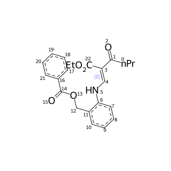 CCCC(=O)/C(=C/Nc1ccccc1COC(=O)c1ccccc1)C(=O)OCC